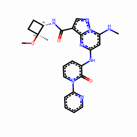 CNc1cc(Nc2cccn(-c3ccccn3)c2=O)nc2c(C(=O)N[C@H]3CC[C@]3(C)OC)cnn12